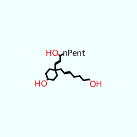 CCCCCC(O)C=CC1(CC=CCCCCO)CCC(O)CC1